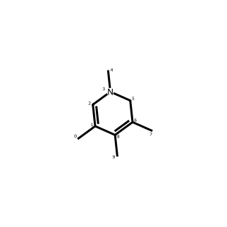 CC1=CN(C)CC(C)=C1C